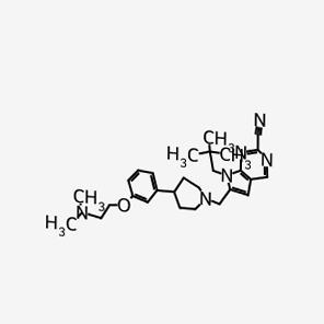 CN(C)CCOc1cccc(C2CCN(Cc3cc4cnc(C#N)nc4n3CC(C)(C)C)CC2)c1